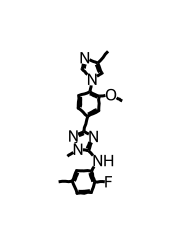 COc1cc(-c2nc(Nc3cc(C)ccc3F)n(C)n2)ccc1-n1cnc(C)c1